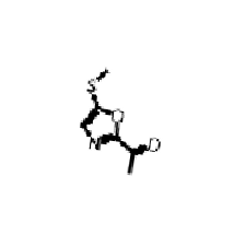 CSc1cnc(C(C)=O)o1